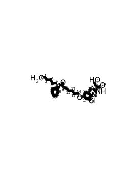 CCCCCCN(C(=O)CCCCCCOc1cc(Cl)c2c(c1)CN1C(=N2)NC(=O)C1CO)c1ccccc1